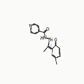 CC1=C/C(=C(\C)NNC(=O)c2ccncc2)C(=O)C=C1